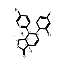 C[C@H]1OC(=O)[C@@H]2C=C[C@H](C3CC=C(Cl)C=C3Cl)[C@H](c3ccc(Br)cn3)[C@H]12